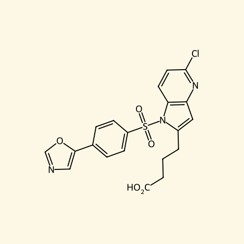 O=C(O)CCCc1cc2nc(Cl)ccc2n1S(=O)(=O)c1ccc(-c2cnco2)cc1